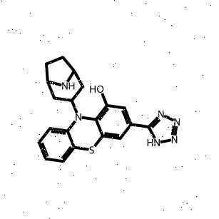 Oc1cc(-c2nnn[nH]2)cc2c1N(C1CC3CCC(C1)N3)c1ccccc1S2